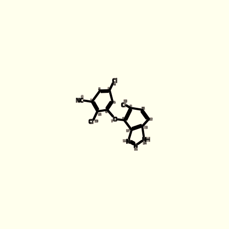 N#Cc1cc(Cl)cc(Oc2c(Cl)ccc3[nH]nnc23)c1Cl